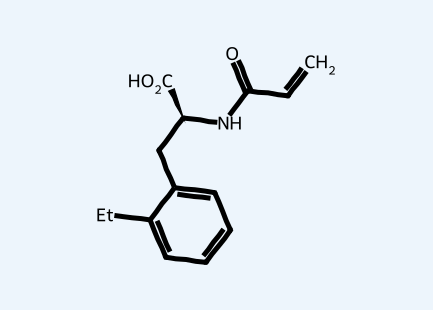 C=CC(=O)N[C@@H](Cc1ccccc1CC)C(=O)O